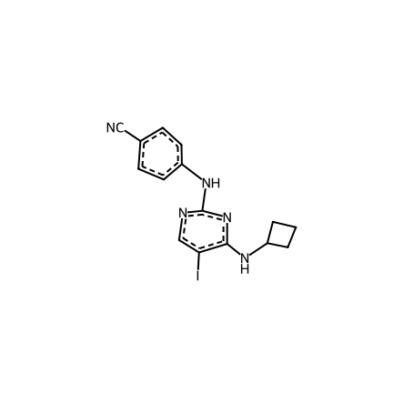 N#Cc1ccc(Nc2ncc(I)c(NC3CCC3)n2)cc1